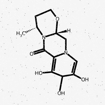 C[C@@H]1CCO[C@@H]2CN3C=C(O)C(O)C(O)=C3C(=O)N12